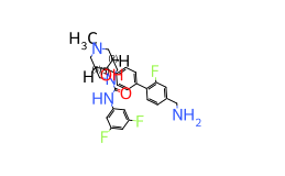 CN1C[C@@H]2CN(C(=O)Nc3cc(F)cc(F)c3)C[C@H](C1)[C@@]2(O)c1ccc(-c2ccc(CN)cc2F)cc1